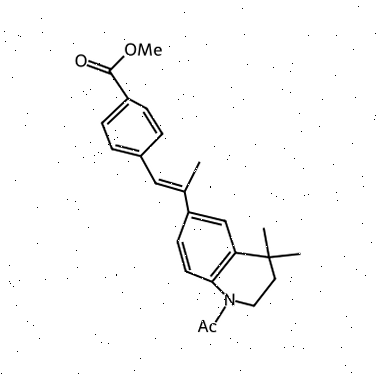 COC(=O)c1ccc(C=C(C)c2ccc3c(c2)C(C)(C)CCN3C(C)=O)cc1